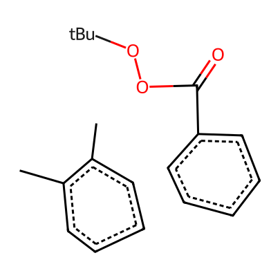 CC(C)(C)OOC(=O)c1ccccc1.Cc1ccccc1C